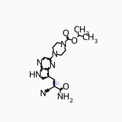 CC(C)OC(=O)N1CCN(c2cnc3[nH]cc(/C=C(\C#N)C(N)=O)c3n2)CC1